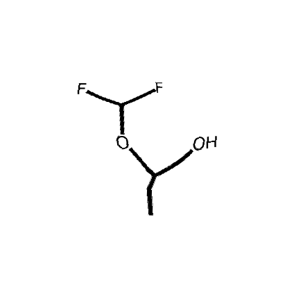 CC(O)OC(F)F